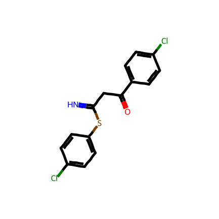 N=C(CC(=O)c1ccc(Cl)cc1)Sc1ccc(Cl)cc1